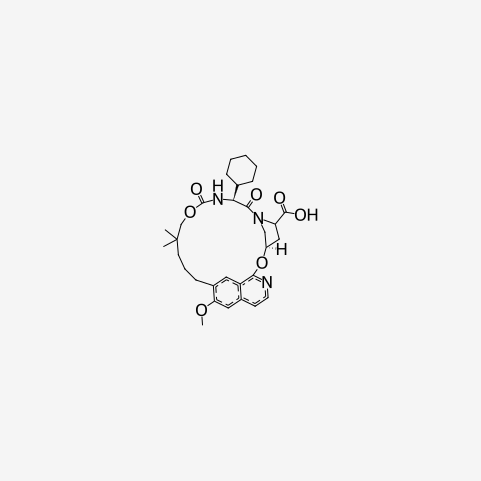 COc1cc2ccnc3c2cc1CCCC(C)(C)COC(=O)N[C@@H](C1CCCCC1)C(=O)N1C[C@@H](CC1C(=O)O)O3